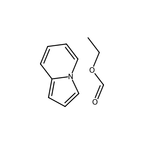 CCOC=O.c1ccn2cccc2c1